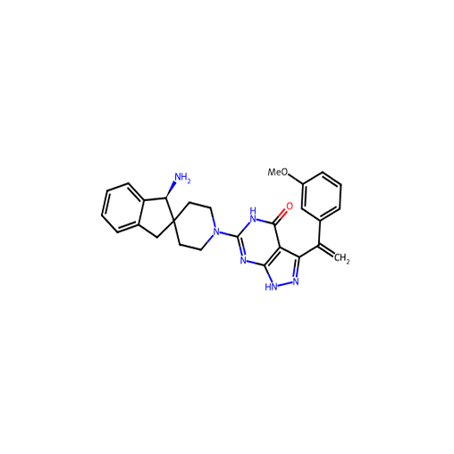 C=C(c1cccc(OC)c1)c1n[nH]c2nc(N3CCC4(CC3)Cc3ccccc3[C@H]4N)[nH]c(=O)c12